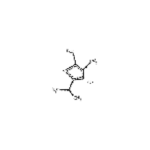 Cc1sc(C(C)C)cc1N.Cl